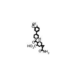 NC(=O)C1CC12CNC(C(=O)N1CC=C(c3cccc(OC(F)(F)F)c3)CC1)C(C(=O)O)C2